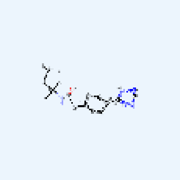 CC(C)CC(C)(C)NC(=O)Cc1ccc(-c2nncnn2)cc1